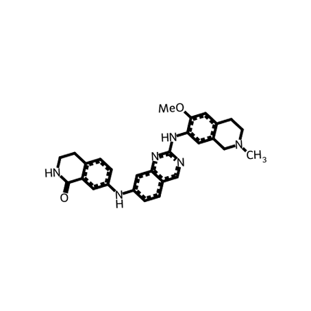 COc1cc2c(cc1Nc1ncc3ccc(Nc4ccc5c(c4)C(=O)NCC5)cc3n1)CN(C)CC2